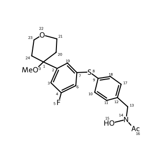 COC1(c2cc(F)cc(Sc3ccc(CN(O)C(C)=O)cc3)c2)CCOCC1